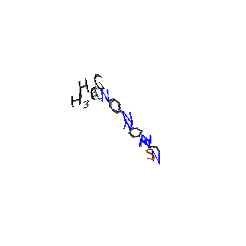 CCN(CC)c1ccc(/N=N/c2ccc(/N=N/c3ccns3)cc2)cc1